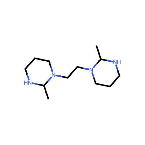 CC1NCCCN1CCN1CCCNC1C